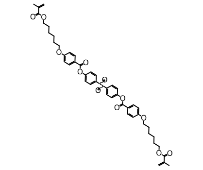 C=C(C)C(=O)OCCCCCCOc1ccc(C(=O)Oc2ccc(S(=O)(=O)c3ccc(OC(=O)c4ccc(OCCCCCCOC(=O)C(=C)C)cc4)cc3)cc2)cc1